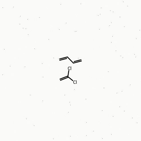 C=C(Cl)Cl.C=CC=C